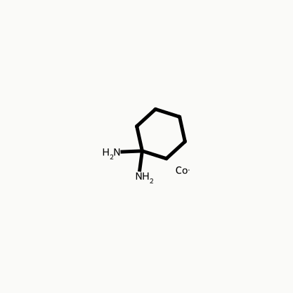 NC1(N)CCCCC1.[Co]